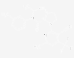 Cc1cccc(N(C(=O)[C@@H]2SCCN2c2nc(C)cc(C(F)(F)F)c2C#N)C(C)C)c1